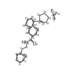 O=C(NCCc1ccccn1)c1cnc2c(C3=CC[C@@H](C(F)(F)F)CC3)cccc2c1